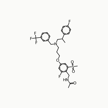 CC(=O)NCc1c(F)cc(OCCCN(Cc2cccc(C(F)(F)F)c2)CC(C)c2ccc(F)cc2)cc1S(C)(=O)=O